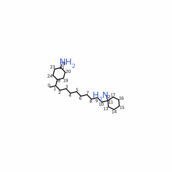 CC(CCCCCCCCCC1(N)CCCCC1)C1CCC(N)CC1